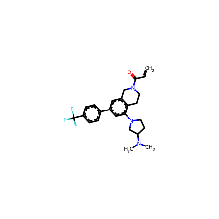 C=CC(=O)N1CCc2c(cc(-c3ccc(C(F)(F)F)cc3)cc2N2CCC(N(C)C)C2)C1